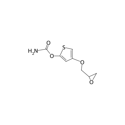 NC(=O)Oc1cc(OCC2CO2)cs1